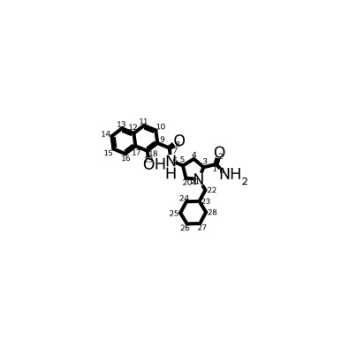 NC(=O)C1CC(NC(=O)c2ccc3ccccc3c2O)CN1CC1CCCCC1